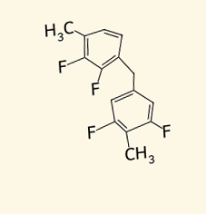 Cc1ccc(Cc2cc(F)c(C)c(F)c2)c(F)c1F